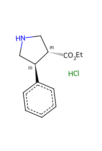 CCOC(=O)[C@H]1CNC[C@@H]1c1ccccc1.Cl